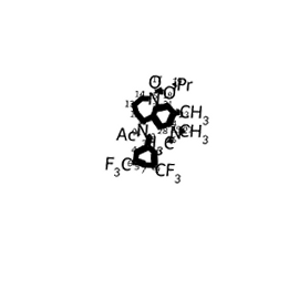 CC(=O)N(Cc1cc(C(F)(F)F)cc(C(F)(F)F)c1)C1CCCN(C(=O)OC(C)C)c2cc(C)c(N(C)C)cc21